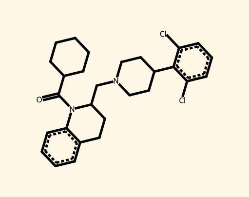 O=C(C1CCCCC1)N1c2ccccc2CCC1CN1CCC(c2c(Cl)cccc2Cl)CC1